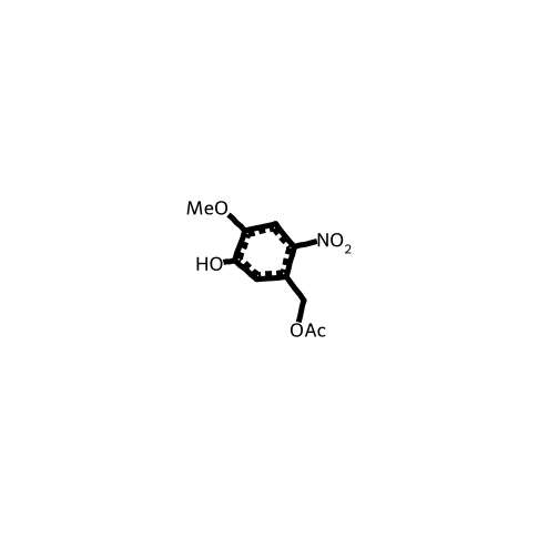 COc1cc([N+](=O)[O-])c(COC(C)=O)cc1O